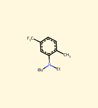 CCC(C)N(CC)c1cc(C(F)(F)F)ccc1C